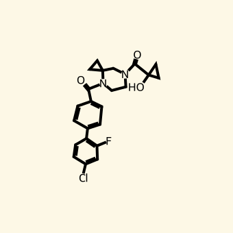 O=C(c1ccc(-c2ccc(Cl)cc2F)cc1)N1CCN(C(=O)C2(O)CC2)CC12CC2